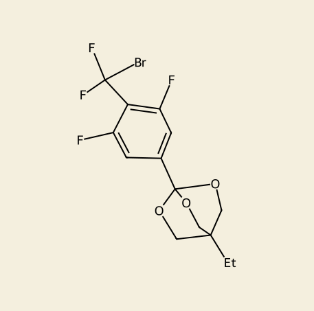 CCC12COC(c3cc(F)c(C(F)(F)Br)c(F)c3)(OC1)OC2